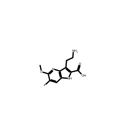 COc1nc2c(CCN)c(C(=O)O)[nH]c2cc1F